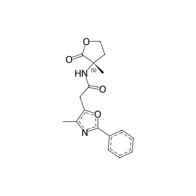 Cc1nc(-c2ccccc2)oc1CC(=O)N[C@@]1(C)CCOC1=O